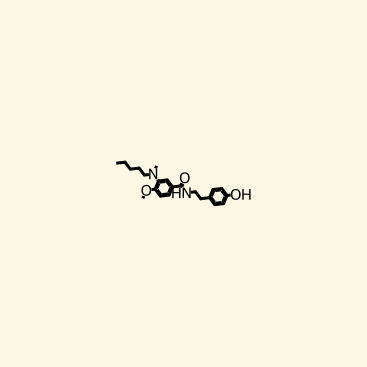 CCCCCN(C)c1cc(C(=O)NCCc2ccc(O)cc2)ccc1OC